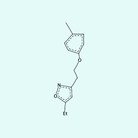 CCc1cc(CCOc2ccc(C)cc2)no1